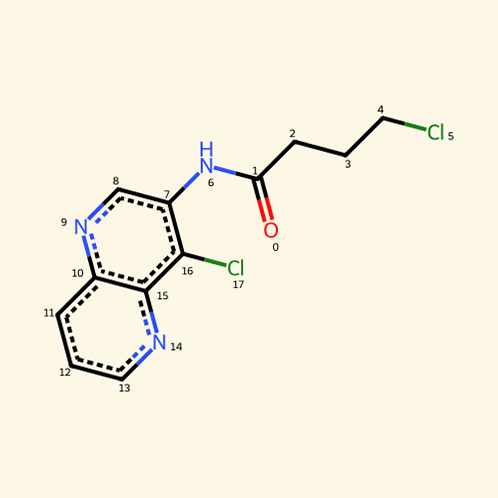 O=C(CCCCl)Nc1cnc2cccnc2c1Cl